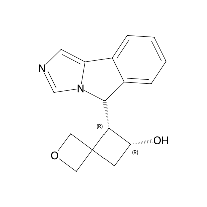 O[C@@H]1CC2(COC2)[C@@H]1C1c2ccccc2-c2cncn21